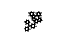 c1ccc(N(c2ccccc2)c2cccc(-c3cc4cccc5c6ccccc6n6c7ccccc7c7sc3c(c45)c76)c2)cc1